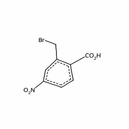 O=C(O)c1ccc([N+](=O)[O-])cc1CBr